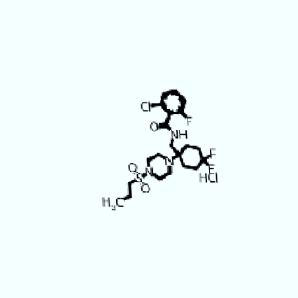 CCCS(=O)(=O)N1CCN(C2(CNC(=O)c3c(F)cccc3Cl)CCC(F)(F)CC2)CC1.Cl